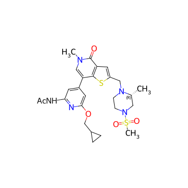 CC(=O)Nc1cc(-c2cn(C)c(=O)c3cc(CN4CCN(S(C)(=O)=O)C[C@H]4C)sc23)cc(OCC2CC2)n1